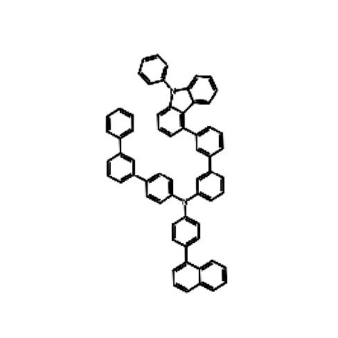 c1ccc(-c2cccc(-c3ccc(N(c4ccc(-c5cccc6ccccc56)cc4)c4cccc(-c5cccc(-c6cccc7c6c6ccccc6n7-c6ccccc6)c5)c4)cc3)c2)cc1